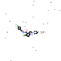 CCOC(=O)C1CCN(c2ccc3c(C(=O)NCCc4ccc(Cl)cc4)c(Cl)ccc3n2)CC1